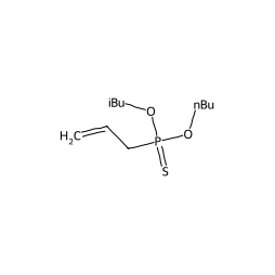 C=CCP(=S)(OCCCC)OC(C)CC